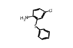 Nc1ccc(Cl)cc1Sc1ccccc1